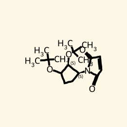 CC(C)(C)OC1CC[C@H](N2C(=O)C=CC2=O)[C@@H]1OC(C)(C)C